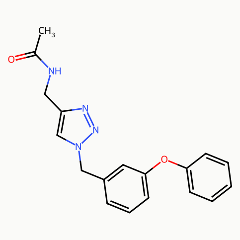 CC(=O)NCc1cn(Cc2cccc(Oc3ccccc3)c2)nn1